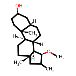 CO[C@H]1C(C)C[C@]2(C)CC[C@@H]3[C@H](CC[C@@H]4C[C@H](O)CC[C@]43C)[C@@H]12